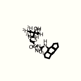 [2H]C([2H])([2H])C(O)(c1ncc([S@@](N)(=O)=NC(=O)Nc2c3c(cc4c2CCC4)CCC3)s1)C([2H])([2H])[2H]